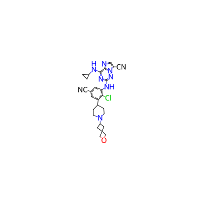 N#Cc1cc(Nc2nc(NC3CC3)c3ncc(C#N)n3n2)c(Cl)c(C2CCN(C3CC4(COC4)C3)CC2)c1